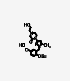 Cc1cc(N2CCN(CCO)CC2=O)nn1Cc1cc(Cl)ccc1OCC(C)C.Cl